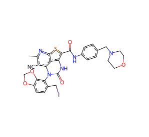 Cc1nc2sc(C(=O)Nc3ccc(CN4CCOCC4)cc3)c3c2c(c1C#N)N(c1c(CI)ccc2c1OCO2)C(=O)N3